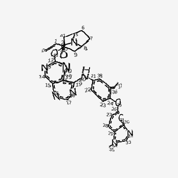 C=CC(=O)N1C2CCC1CC(Oc1ncc3ncnc(Nc4ccc(Oc5ccc6c(c5)ncn6C)c(C)c4)c3n1)C2